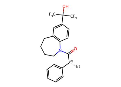 CC[C@@H](C(=O)N1CCCCc2cc(C(O)(C(F)(F)F)C(F)(F)F)ccc21)c1ccccc1